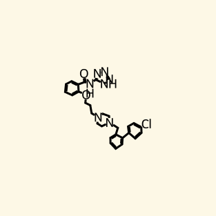 O=C(Nc1nnn[nH]1)c1ccccc1OCCCN1CCN(Cc2ccccc2-c2ccc(Cl)cc2)CC1